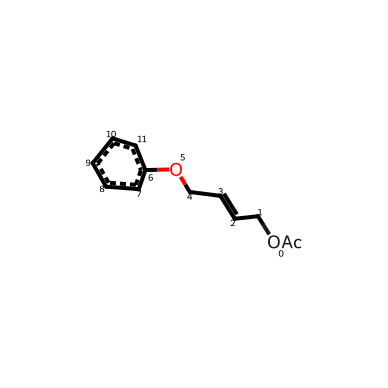 CC(=O)OC/C=C/COc1ccccc1